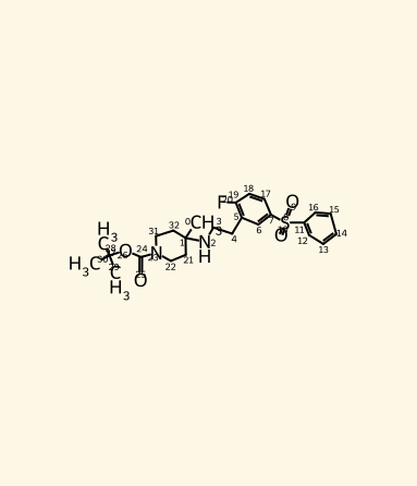 CC1(NCCc2cc(S(=O)(=O)c3ccccc3)ccc2F)CCN(C(=O)OC(C)(C)C)CC1